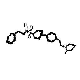 C[C@@H]1CCCN1CCc1ccc(-c2ccc(S(=O)(=O)NCCc3ccccc3)cc2)cc1